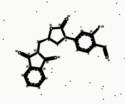 O=Cc1ccc(N2C[C@@H](CN3C(=O)c4ccccc4C3=O)OC2=O)cc1F